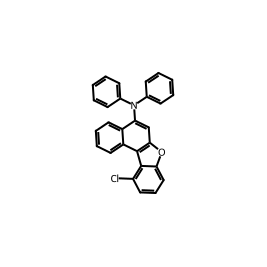 Clc1cccc2oc3cc(N(c4ccccc4)c4ccccc4)c4ccccc4c3c12